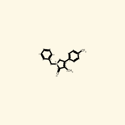 CC1=C(c2ccc(C(F)(F)F)cc2)CN(Cc2ccccc2)C1=O